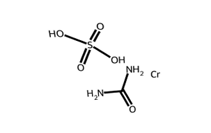 NC(N)=O.O=S(=O)(O)O.[Cr]